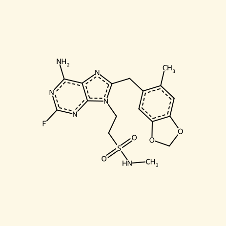 CNS(=O)(=O)CCn1c(Cc2cc3c(cc2C)OCO3)nc2c(N)nc(F)nc21